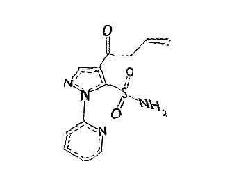 C=CCC(=O)c1cnn(-c2ccccn2)c1S(N)(=O)=O